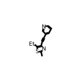 CCc1sc(C)nc1C#Cc1cccnc1